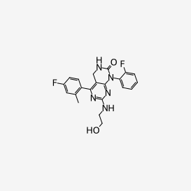 Cc1cc(F)ccc1-c1nc(NCCO)nc2c1CNC(=O)N2c1ccccc1F